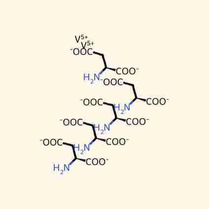 N[C@@H](CC(=O)[O-])C(=O)[O-].N[C@@H](CC(=O)[O-])C(=O)[O-].N[C@@H](CC(=O)[O-])C(=O)[O-].N[C@@H](CC(=O)[O-])C(=O)[O-].N[C@@H](CC(=O)[O-])C(=O)[O-].[V+5].[V+5]